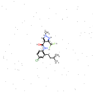 CC(CCc1cc(Cl)ccc1NC(=O)c1cn(C)nc1C(F)F)C(F)(F)F